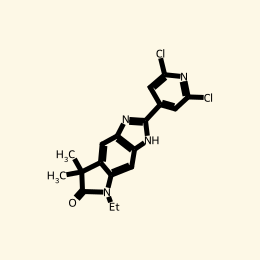 CCN1C(=O)C(C)(C)c2cc3nc(-c4cc(Cl)nc(Cl)c4)[nH]c3cc21